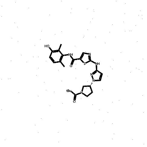 Cc1ccc(O)c(C)c1NC(=O)c1cnc(Nc2ccn([C@@H]3CCN(C(=O)C(C)(C)C)C3)n2)s1